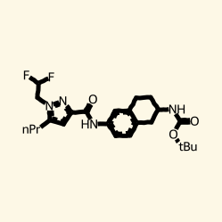 CCCc1cc(C(=O)Nc2ccc3c(c2)CCC(NC(=O)OC(C)(C)C)C3)nn1CC(F)F